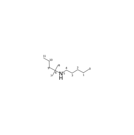 CCCCCNC(C)(C)CCC